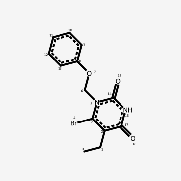 CCc1c(Br)n(COc2ccccc2)c(=O)[nH]c1=O